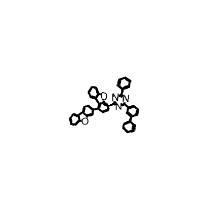 c1ccc(-c2cccc(-c3nc(-c4ccccc4)nc(-c4ccc(-c5ccc6c(c5)oc5ccccc56)c5c4oc4ccccc45)n3)c2)cc1